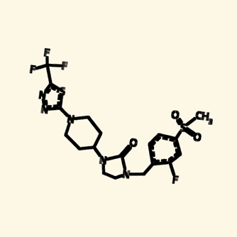 CS(=O)(=O)c1ccc(CN2CCN(C3CCN(c4nnc(C(F)(F)F)s4)CC3)C2=O)c(F)c1